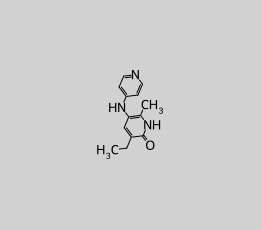 CCc1cc(Nc2ccncc2)c(C)[nH]c1=O